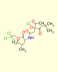 CC(=O)C(CC(=O)NC(CC(C)C)C(=O)OCC(Cl)(Cl)Cl)(OCl)C(=O)CC(C)C